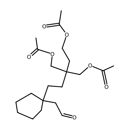 CC(=O)OCCC(CCC1(CC=O)CCCCC1)(COC(C)=O)COC(C)=O